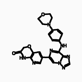 O=C1COc2cc(-c3cn4ncnc4c(Nc4ccc(N5CCOCC5)cc4)n3)cnc2N1